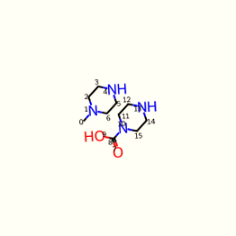 CN1CCNCC1.O=C(O)N1CCNCC1